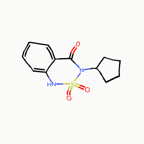 O=C1c2ccccc2NS(=O)(=O)N1C1CCCC1